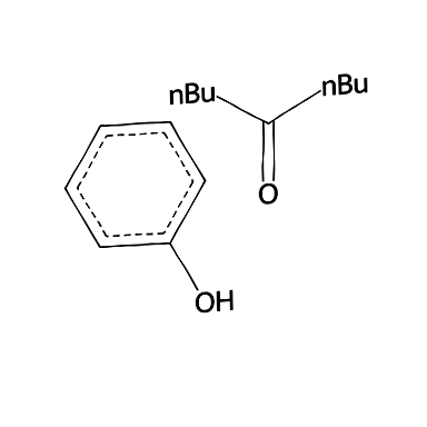 CCCCC(=O)CCCC.Oc1ccccc1